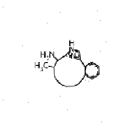 CC1CCCCCc2ccccc2-c2c[nH]c(n2)C1N